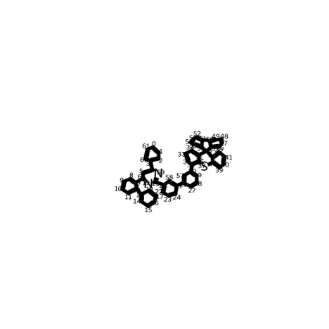 c1ccc(-c2cc(-c3ccccc3-c3ccccc3)nc(-c3cccc(-c4cccc(-c5cccc6c5Sc5ccccc5C65c6ccccc6-c6ccccc65)c4)c3)n2)cc1